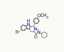 COc1ccc(C2c3[nH]c4ccc(Br)cc4c3CC3C(=O)N(C4CCCCC4)CN32)cc1